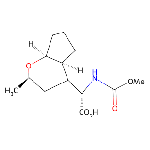 COC(=O)N[C@H](C(=O)O)C1C[C@@H](C)O[C@H]2CCC[C@@H]12